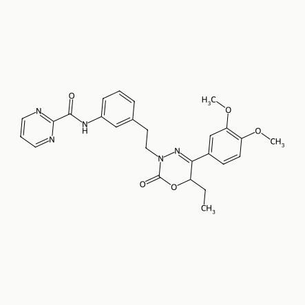 CCC1OC(=O)N(CCc2cccc(NC(=O)c3ncccn3)c2)N=C1c1ccc(OC)c(OC)c1